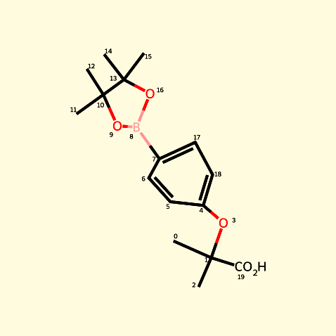 CC(C)(Oc1ccc(B2OC(C)(C)C(C)(C)O2)cc1)C(=O)O